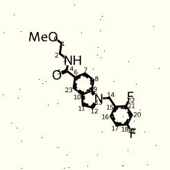 COCCNC(=O)c1ccc2c(ccn2Cc2ccc(F)cc2F)c1